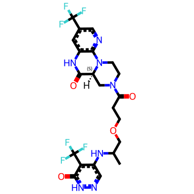 CC(COCCC(=O)N1CCN2c3ncc(C(F)(F)F)cc3NC(=O)[C@@H]2C1)Nc1cn[nH]c(=O)c1C(F)(F)F